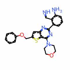 N=Cc1c(N)cccc1-c1nc(N2CCOCC2)c2sc(COc3ccccc3)cc2n1